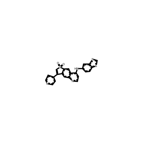 O=S1(=O)C=C(c2ccncc2)c2cc3nccc(Nc4ccc5scnc5c4)c3cc21